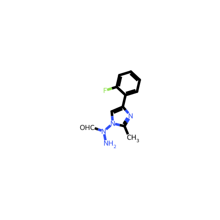 Cc1nc(-c2ccccc2F)cn1N(N)C=O